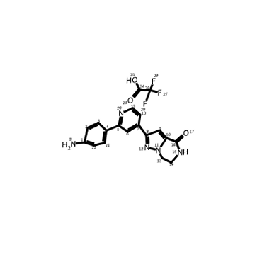 Nc1ccc(-c2cc(-c3cc4n(n3)CCNC4=O)ccn2)cc1.O=C(O)C(F)(F)F